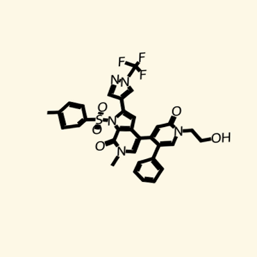 Cc1ccc(S(=O)(=O)n2c(-c3cnn(C(F)(F)F)c3)cc3c(-c4cc(=O)n(CCO)cc4-c4ccccc4)cn(C)c(=O)c32)cc1